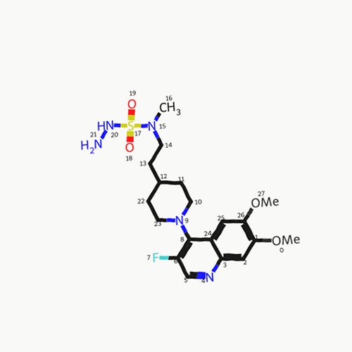 COc1cc2ncc(F)c(N3CCC(CCN(C)S(=O)(=O)NN)CC3)c2cc1OC